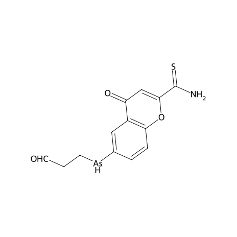 NC(=S)c1cc(=O)c2cc([AsH]CCC=O)ccc2o1